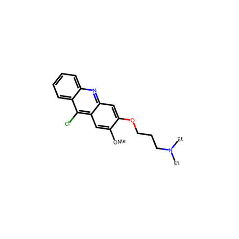 CCN(CC)CCCOc1cc2nc3ccccc3c(Cl)c2cc1OC